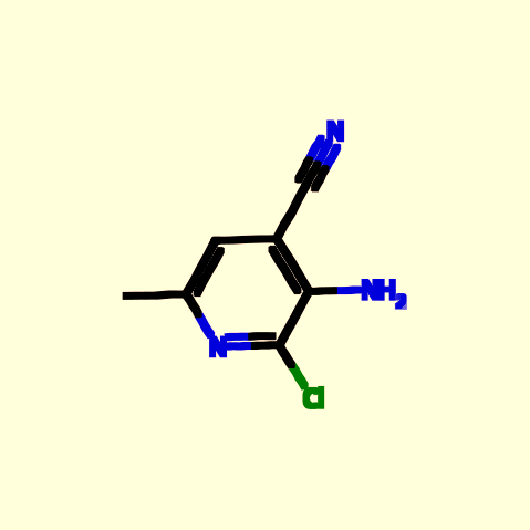 Cc1cc(C#N)c(N)c(Cl)n1